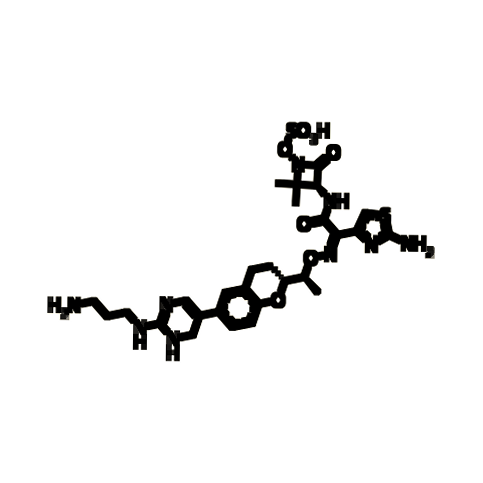 C[C@H](O/N=C(\C(=O)N[C@@H]1C(=O)N(OS(=O)(=O)O)C1(C)C)c1csc(N)n1)[C@H]1CCc2cc(C3=CN=C(NCCCN)NC3)ccc2O1